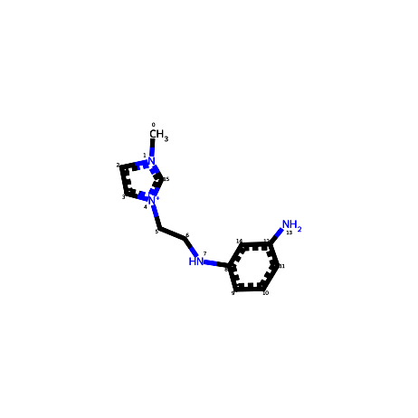 Cn1cc[n+](CCNc2cccc(N)c2)c1